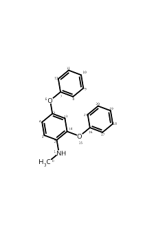 CNc1ccc(Oc2ccccc2)cc1Oc1ccccc1